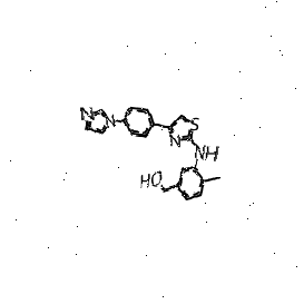 Cc1ccc(CO)cc1Nc1nc(-c2ccc(-n3ccnc3)cc2)cs1